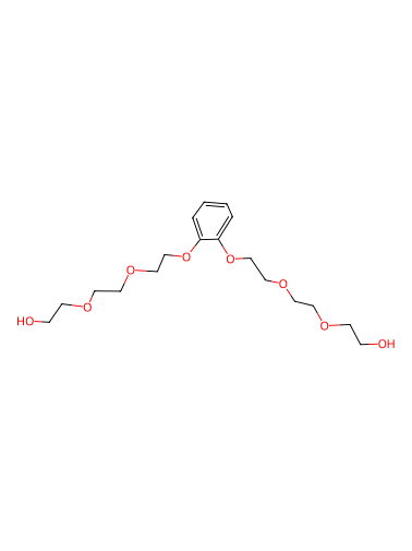 OCCOCCOCCOc1ccccc1OCCOCCOCCO